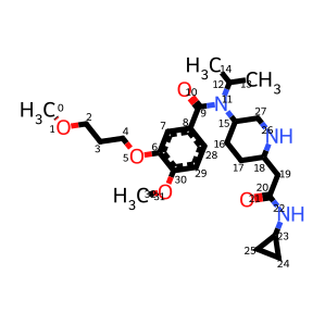 COCCCOc1cc(C(=O)N(C(C)C)C2CCC(CC(=O)NC3CC3)NC2)ccc1OC